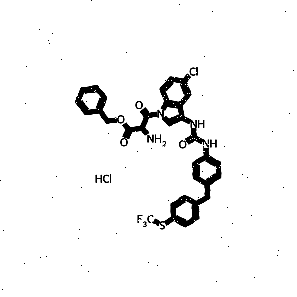 Cl.NC(C(=O)OCc1ccccc1)C(=O)n1cc(NC(=O)Nc2ccc(Cc3ccc(SC(F)(F)F)cc3)cc2)c2cc(Cl)ccc21